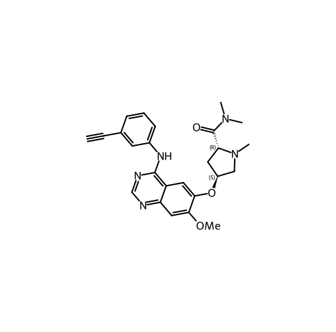 C#Cc1cccc(Nc2ncnc3cc(OC)c(O[C@H]4C[C@H](C(=O)N(C)C)N(C)C4)cc23)c1